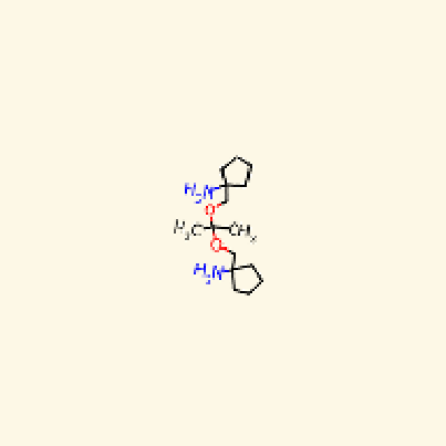 CC(C)(OCC1(N)CCCC1)OCC1(N)CCCC1